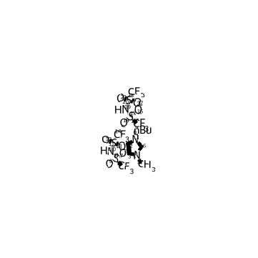 CCCCN1C=CN(C)C1.O=S(=O)(NS(=O)(=O)C(F)(F)F)C(F)(F)F.O=S(=O)(NS(=O)(=O)C(F)(F)F)C(F)(F)F